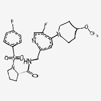 O=C(NCc1cc(N2CCC(OC(F)(F)F)CC2)c(F)cn1)[C@@H]1CCCN1S(=O)(=O)c1ccc(F)cc1